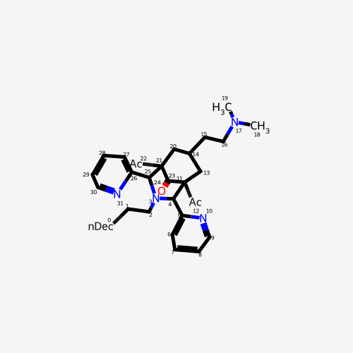 CCCCCCCCCCCCN1C(c2ccccn2)C2(C(C)=O)CC(CCN(C)C)CC(C(C)=O)(C2=O)C1c1ccccn1